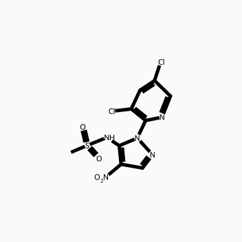 CS(=O)(=O)Nc1c([N+](=O)[O-])cnn1-c1ncc(Cl)cc1Cl